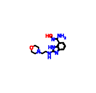 NC(=NO)c1cccc2nc(NCCN3CCOCC3)[nH]c12